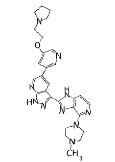 CN1CCN(c2nccc3[nH]c(-c4n[nH]c5ncc(-c6cncc(OCCN7CCCC7)c6)cc45)nc23)CC1